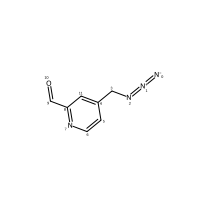 [N-]=[N+]=NCc1ccnc(C=O)c1